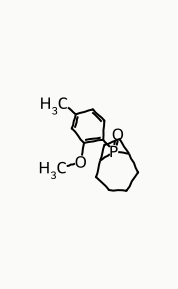 COc1cc(C)ccc1P1(=O)C2CCCCC1CC2